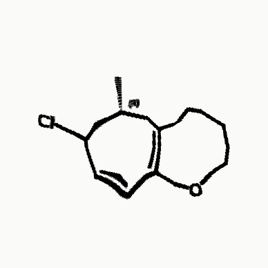 C[C@@H]1C2=C(C=CC1Cl)OCCC2